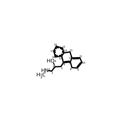 CNC[C@@H](O)CC1=C2CC=CC=C2Cc2ccccc21